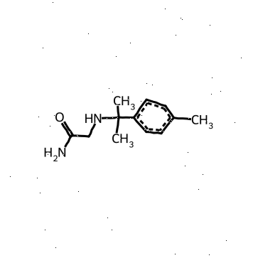 Cc1ccc(C(C)(C)NCC(N)=O)cc1